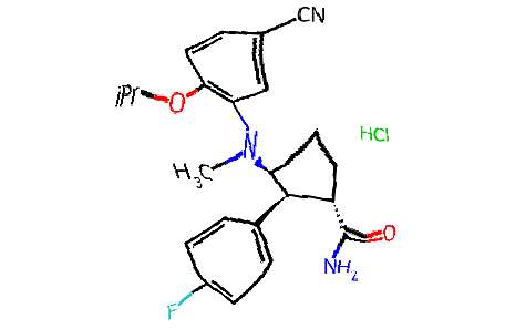 CC(C)Oc1ccc(C#N)cc1N(C)[C@H]1CC[C@H](C(N)=O)[C@H]1c1ccc(F)cc1.Cl